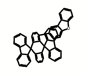 c1ccc2c(c1)-c1ccccc1C21c2ccccc2C2(c3ccccc3-c3ccccc32)c2c(-c3ccc4oc5ccccc5c4c3)cccc21